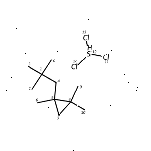 CC(C)(C)CC1(C)CC1(C)C.Cl[SiH](Cl)Cl